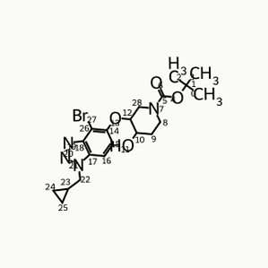 CC(C)(C)OC(=O)N1CCC(O)C(Oc2ccc3c(nnn3CC3CC3)c2Br)C1